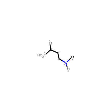 CCC(CCN(CC)CC)C(=O)O